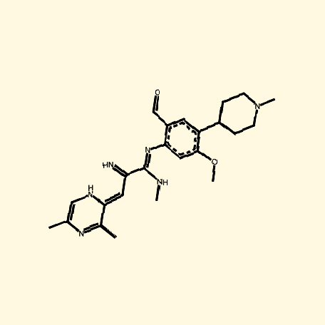 CN/C(=N\c1cc(OC)c(C2CCN(C)CC2)cc1C=O)C(=N)/C=C1\NC=C(C)N=C1C